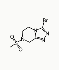 CS(=O)(=O)N1CCn2c(Br)nnc2C1